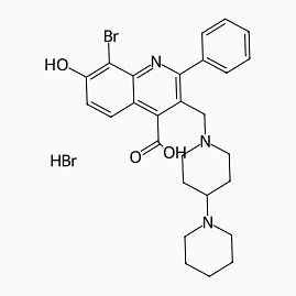 Br.O=C(O)c1c(CN2CCC(N3CCCCC3)CC2)c(-c2ccccc2)nc2c(Br)c(O)ccc12